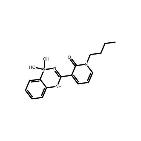 CCCCn1cccc(C2=NS(O)(O)c3ccccc3N2)c1=O